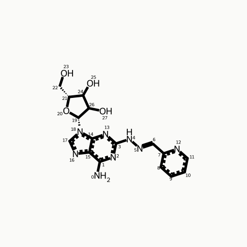 Nc1nc(NN=Cc2ccccn2)nc2c1ncn2[C@@H]1O[C@H](CO)C(O)C1O